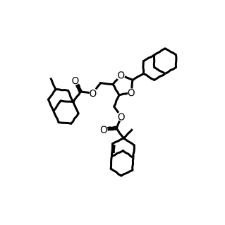 CC1CC2CCCC(C(=O)OCC3OC(C4CC5CCCC(C5)C4)OC3COC(=O)C3(C)C=C4CCCC(C4)C3)(C1)C2